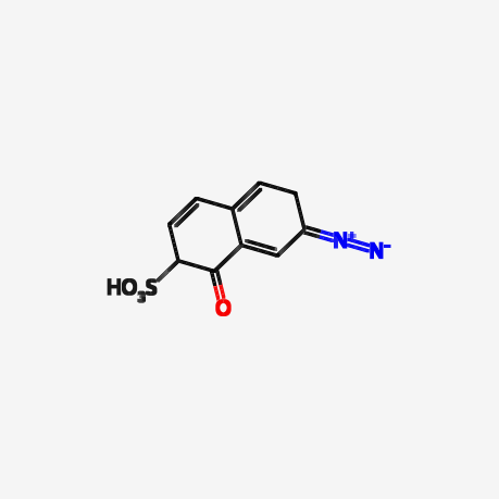 [N-]=[N+]=C1C=C2C(=O)C(S(=O)(=O)O)C=CC2=CC1